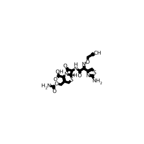 C#CCON=C(C(=O)NC1C(=O)N2C(C(=O)O)=C(COC(N)=O)CS[C@@H]12)c1csc(N)n1